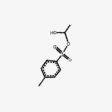 [CH2]C(O)OS(=O)(=O)c1ccc(C)cc1